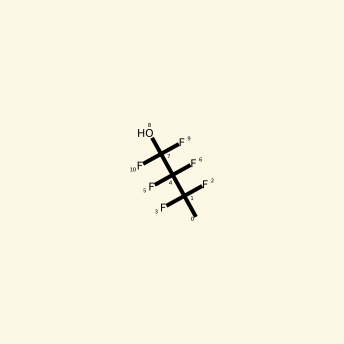 CC(F)(F)C(F)(F)C(O)(F)F